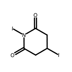 O=C1CC(I)CC(=O)N1I